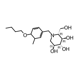 CCCCOC1C=CC(CN2C[C@H](O)[C@@H](O)[C@H](O)[C@H]2CO)=CC1C